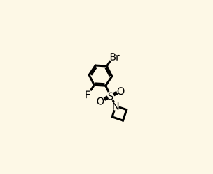 O=S(=O)(c1cc(Br)ccc1F)N1CCC1